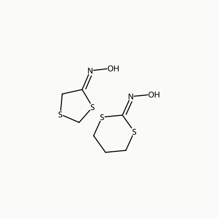 ON=C1CSCS1.ON=C1SCCCS1